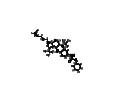 C[SiH](C)CCOCn1cc(C(F)(F)F)c2c(Oc3ccc(NC(=O)Oc4ccccc4)cc3OC(F)(F)F)ccnc21